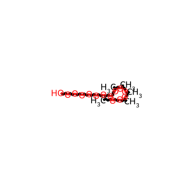 CCCCOCCOCC(C)OCC(C)OCC(C)OCC(C)OCCOCCOCCOCCOCCOCCOCCOCCO